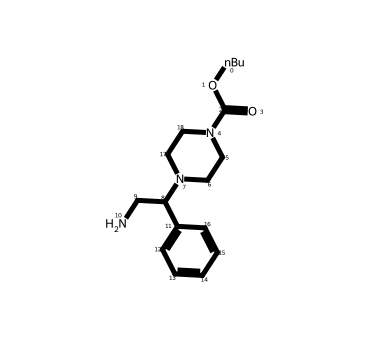 CCCCOC(=O)N1CCN(C(CN)c2ccccc2)CC1